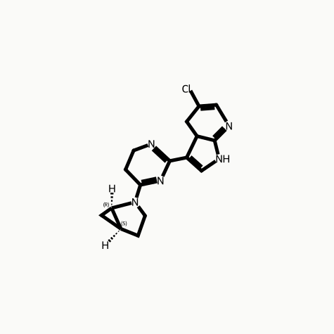 ClC1=CN=C2NC=C(C3=NCCC(N4CC[C@H]5C[C@H]54)=N3)C2C1